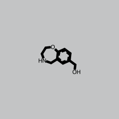 OCc1ccc2c(c1)CNCCO2